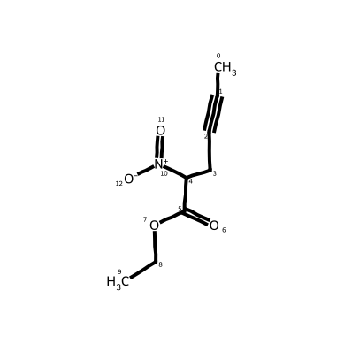 CC#CCC(C(=O)OCC)[N+](=O)[O-]